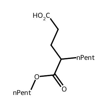 CCCCCOC(=O)C(CCCCC)CCC(=O)O